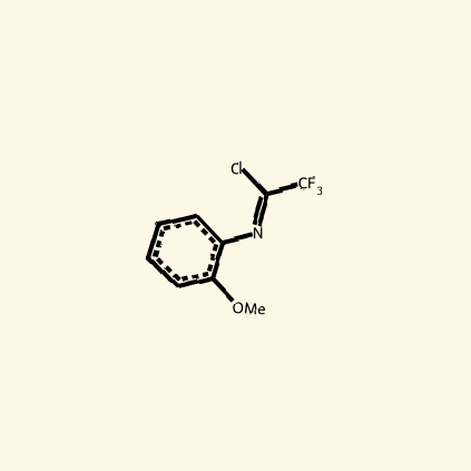 COc1ccccc1N=C(Cl)C(F)(F)F